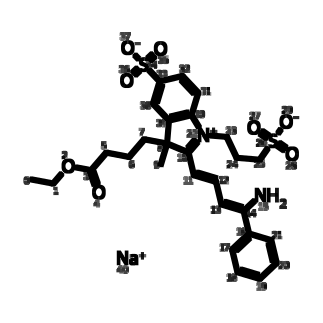 CCOC(=O)CCCC1(C)C(C=CC=C(N)c2ccccc2)=[N+](CCCS(=O)(=O)[O-])c2ccc(S(=O)(=O)[O-])cc21.[Na+]